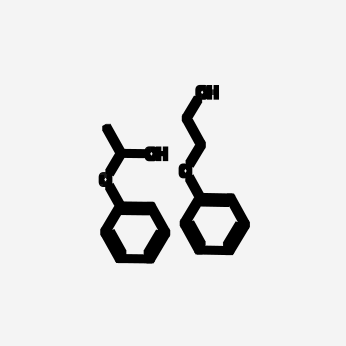 CC(O)Oc1ccccc1.OCCOc1ccccc1